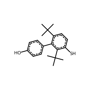 CC(C)(C)c1ccc(S)c(C(C)(C)C)c1-c1ccc(O)cc1